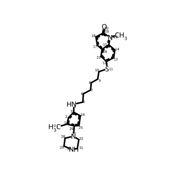 Cc1cc(NCCCCCCSc2ccc3c(ccc(=O)n3C)c2)ccc1N1CCNCC1